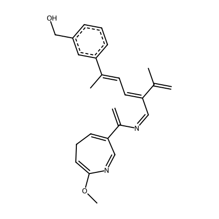 C=C(\N=C/C(=C/C=C(\C)c1cccc(CO)c1)C(=C)C)C1=CCC=C(OC)N=C1